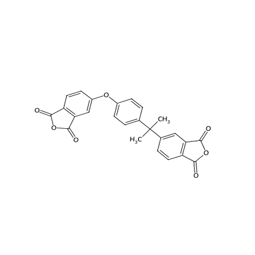 CC(C)(c1ccc(Oc2ccc3c(c2)C(=O)OC3=O)cc1)c1ccc2c(c1)C(=O)OC2=O